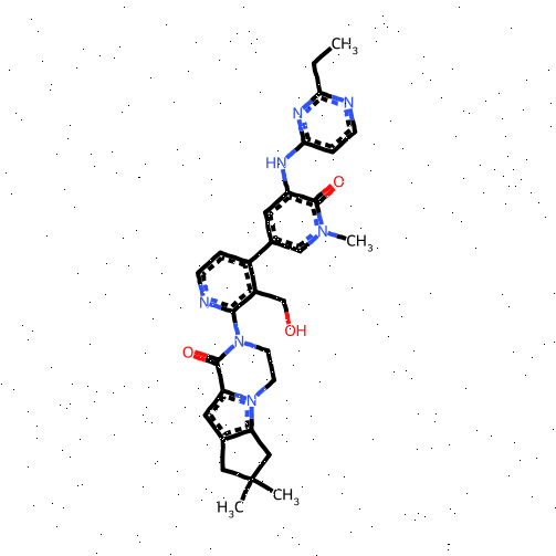 CCc1nccc(Nc2cc(-c3ccnc(N4CCn5c(cc6c5CC(C)(C)C6)C4=O)c3CO)cn(C)c2=O)n1